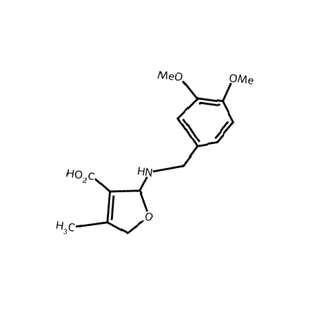 COc1ccc(CNC2OCC(C)=C2C(=O)O)cc1OC